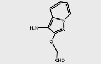 Nc1c(OCC=O)nn2ccccc12